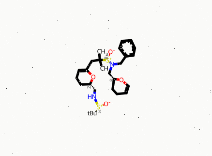 CC(C)(C)[S@@+]([O-])NC[C@@H]1CCC=C(CC(C)(C)[S@+]([O-])N(Cc2ccccc2)C[C@@H]2CCC=CO2)O1